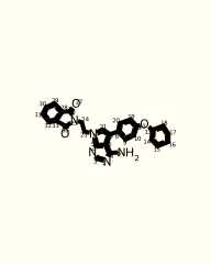 Nc1ncnc2c1c(-c1ccc(Oc3ccccc3)cc1)cn2CCN1C(=O)c2ccccc2C1=O